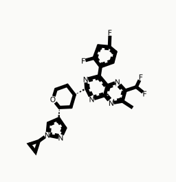 Cc1nc2nc([C@H]3CCO[C@@H](c4cnn(C5CC5)c4)C3)nc(-c3ccc(F)cc3F)c2nc1C(F)F